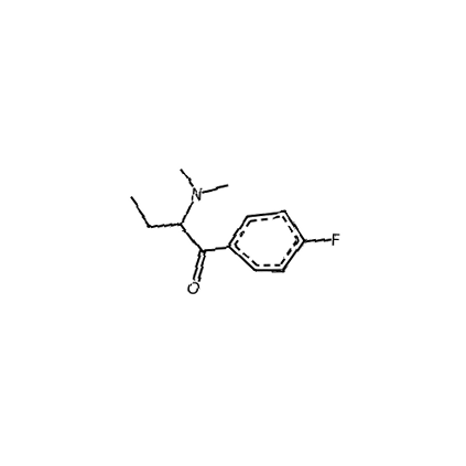 CCC(C(=O)c1ccc(F)cc1)N(C)C